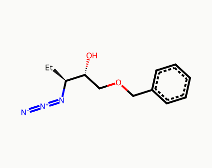 CC[C@H](N=[N+]=[N-])[C@H](O)COCc1ccccc1